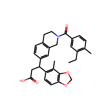 CCc1cc(C(=O)N2CCc3ccc(C(CC(=O)O)c4ccc5c(c4C)OCO5)cc3C2)ccc1C